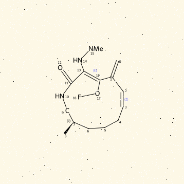 C=C1/C=C\CCC[C@@H](C)CNC(=O)/C(NNC)=C/1OF